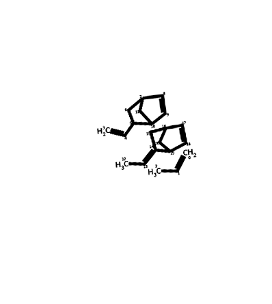 C=CC.C=CC1CC2C=CC1C2.CC=C1CC2C=CC1C2